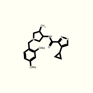 COc1ccc(CN2CC(C)C(NC(=O)c3nocc3C3CC3)C2)c(OC)c1